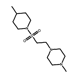 CC1CCN(S(=O)(=O)CCN2CCN(C)CC2)CC1